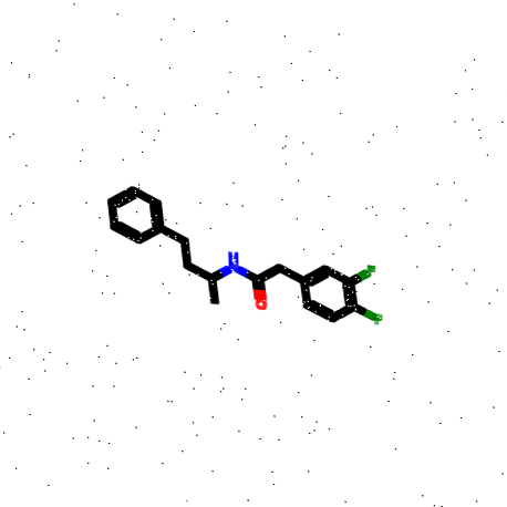 CC(CCc1ccccc1)NC(=O)Cc1ccc(F)c(F)c1